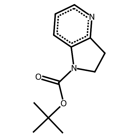 CC(C)(C)OC(=O)N1CCc2ncccc21